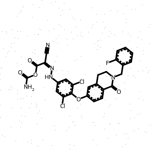 N#CC(=NNc1cc(Cl)c(Oc2ccc3c(c2)CCN(Cc2ccccc2F)C3=O)c(Cl)c1)C(=O)OC(N)=O